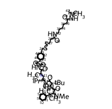 CN[C@H](C(=O)N[C@H](C(=O)N(C)[C@H](/C=C(\C)C(=O)NS(=O)(=O)c1ccc(CSSCCC(=O)NCCCCCC(=O)NN(C)I)cc1)C(C)C)C(C)(C)C)C(C)(C)c1ccccc1